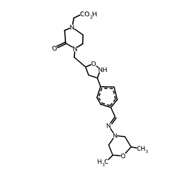 CC1CN(N=Cc2ccc(C3CC(CN4CCN(CC(=O)O)CC4=O)ON3)cc2)CC(C)O1